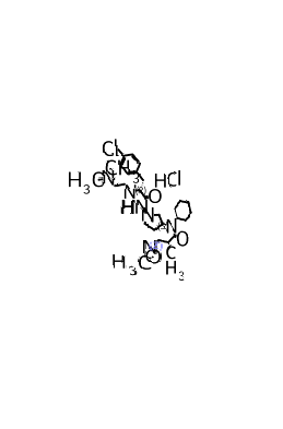 CO/N=C\C(C)C(=O)N(C1CCCCC1)[C@H]1CCN(NC(=O)[C@@H](Cc2ccc(Cl)cc2)NCCN(C)C)C1.Cl